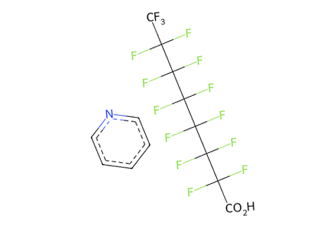 O=C(O)C(F)(F)C(F)(F)C(F)(F)C(F)(F)C(F)(F)C(F)(F)C(F)(F)F.c1ccncc1